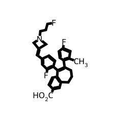 Cc1cc(F)ccc1C1=C(c2ccc(C=C3CN(CCCF)C3)cc2F)c2ccc(C(=O)O)cc2CCC1